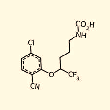 N#Cc1ccc(Cl)cc1OC(CCCNC(=O)O)C(F)(F)F